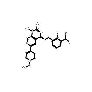 CSN1CC=C(c2cc3/c(=N/Cc4cccc(C(F)F)c4F)nc(C)n(C)c3cn2)CC1